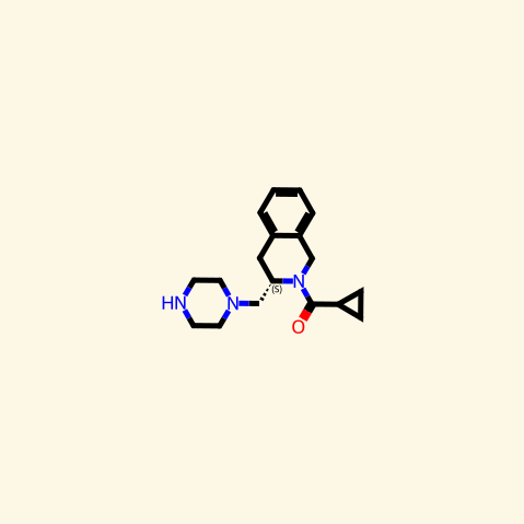 O=C(C1CC1)N1Cc2ccccc2C[C@H]1CN1CCNCC1